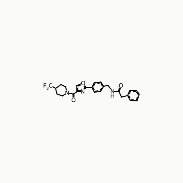 O=C(Cc1ccccc1)NCc1ccc(-c2nc(C(=O)N3CCC(C(F)(F)F)CC3)co2)cc1